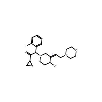 O=C(C1CC1)C(c1ccccc1F)N1CCC(O)/C(=C\CN2CCOCC2)C1